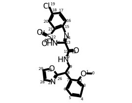 COc1ccccc1C(CNC(=O)C1=Nc2ccc(Cl)cc2S(=O)(=O)N1)c1ncco1